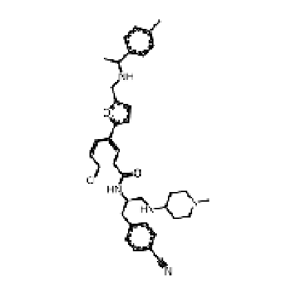 Cc1ccc(C(C)NCc2ccc(C(/C=C\CCl)=C/CC(=O)N[C@@H](CNC3CCN(C)CC3)Cc3ccc(C#N)cc3)o2)cc1